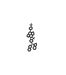 CC(C)(C)c1ccc(-c2cc3cccc4c5c(c6cccc2c6c34)C(C)(C)c2cc(N(c3ccc4ccccc4c3)c3cccc4ccccc34)ccc2-5)cc1